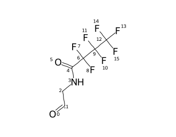 O=[C]CNC(=O)C(F)(F)C(F)(F)C(F)(F)F